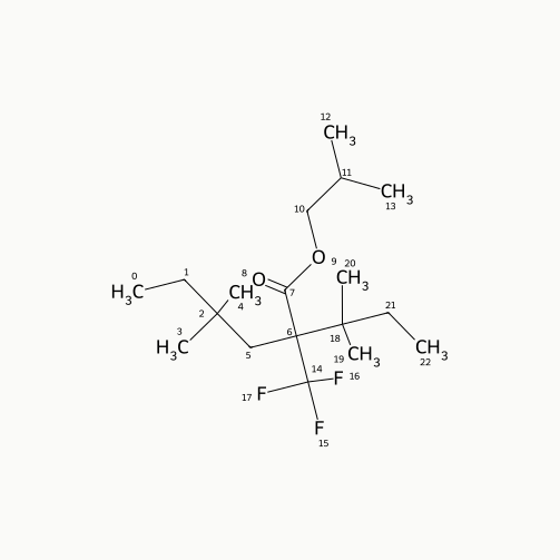 CCC(C)(C)CC(C(=O)OCC(C)C)(C(F)(F)F)C(C)(C)CC